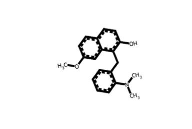 COc1ccc2ccc(O)c(Cc3ccccc3N(C)C)c2c1